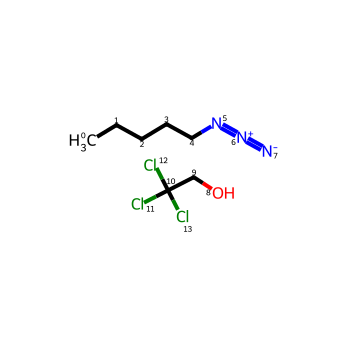 CCCCCN=[N+]=[N-].OCC(Cl)(Cl)Cl